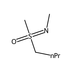 CCCCS(C)(=O)=NC